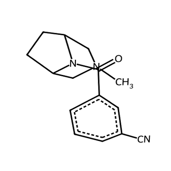 CN1CC2CCC(C1)N2C(=O)c1cccc(C#N)c1